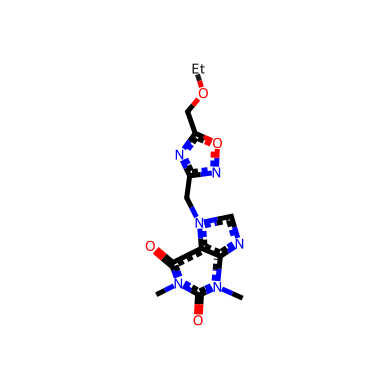 CCOCc1nc(Cn2cnc3c2c(=O)n(C)c(=O)n3C)no1